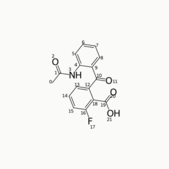 CC(=O)Nc1ccccc1C(=O)c1cccc(F)c1C(=O)O